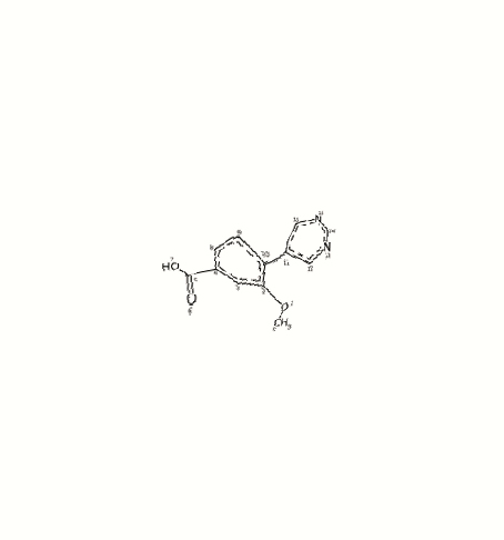 COc1cc(C(=O)O)ccc1-c1cncnc1